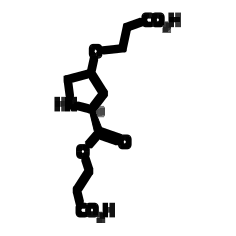 O=C(O)CCOC(=O)[C@@H]1CC(OCCC(=O)O)CN1